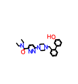 CCN(CC)C(=O)c1ccc(N2CCN(Cc3ccccc3-c3cccc(O)c3)CC2)nn1